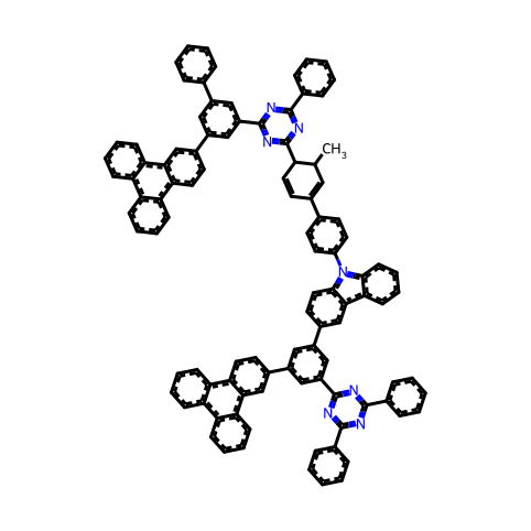 CC1C=C(c2ccc(-n3c4ccccc4c4cc(-c5cc(-c6ccc7c8ccccc8c8ccccc8c7c6)cc(-c6nc(-c7ccccc7)nc(-c7ccccc7)n6)c5)ccc43)cc2)C=CC1c1nc(-c2ccccc2)nc(-c2cc(-c3ccccc3)cc(-c3ccc4c5ccccc5c5ccccc5c4c3)c2)n1